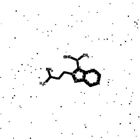 CC(N)CCn1nc2cnccc2c1N(C)C=O